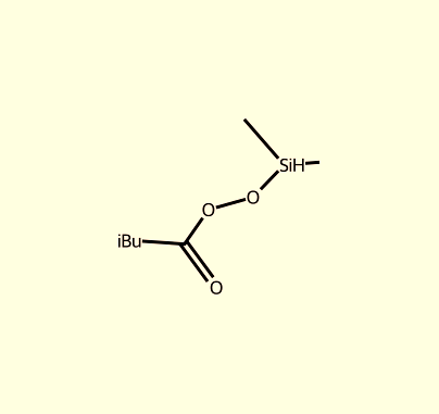 CCC(C)C(=O)OO[SiH](C)C